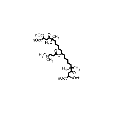 CCCCCCCCC(CCCCCCCC)CC(=O)C(C)(C)CCCCCC(CCCCCC(C)(C)C(=O)CC(CCCCCCCC)CCCCCCCC)OC(=O)CCN(C)C